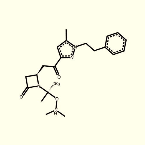 Cc1cc(C(=O)C[C@@H]2CC(=O)N2[C@](C)(O[SiH](C)C)C(C)(C)C)nn1CCc1ccccc1